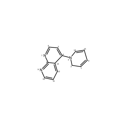 C1=CCN(c2ccnc3ncccc23)C=C1